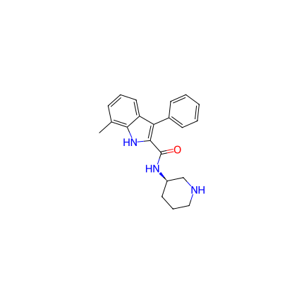 Cc1cccc2c(-c3ccccc3)c(C(=O)N[C@@H]3CCCNC3)[nH]c12